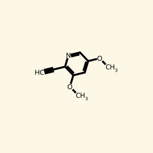 C#Cc1ncc(OC)cc1OC